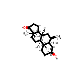 C=C1C[C@@H]2[C@H](CC[C@]3(C)C(=O)CC[C@@H]23)[C@@]2(C)CCC(=O)C[C@H]12